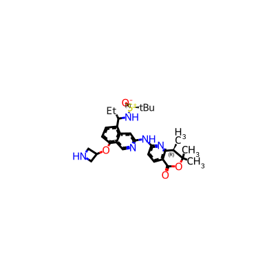 CCC(N[S@@+]([O-])C(C)(C)C)c1ccc(OC2CNC2)c2cnc(Nc3ccc4c(n3)[C@@H](C)C(C)(C)OC4=O)cc12